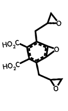 O=C(O)c1c(CC2CO2)c2c(c(CC3CO3)c1C(=O)O)O2